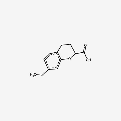 CCc1ccc2c(c1)OC(C(=O)O)CC2